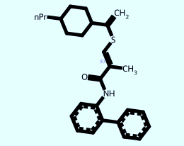 C=C(S/C=C(\C)C(=O)Nc1ccccc1-c1ccccc1)C1CCC(CCC)CC1